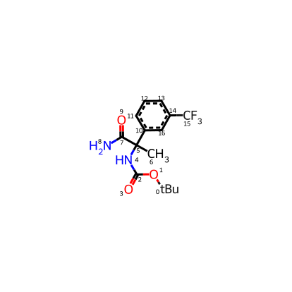 CC(C)(C)OC(=O)NC(C)(C(N)=O)c1cccc(C(F)(F)F)c1